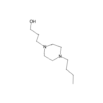 CCCCN1CCN(CCCO)CC1